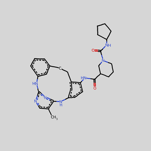 Cc1cnc2nc1Nc1ccc(NC(=O)C3CCCN(C(=O)NC4CCCC4)C3)c(c1)CCc1cccc(c1)N2